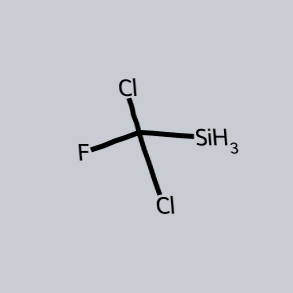 FC([SiH3])(Cl)Cl